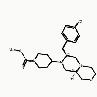 CC(C)(C)OC(=O)N1CCC(N2C[C@@H]3COCCN3C[C@@H]2Cc2ccc(Cl)cc2)CC1